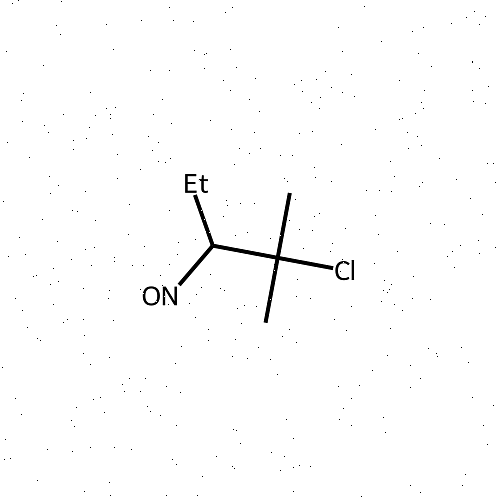 CCC(N=O)C(C)(C)Cl